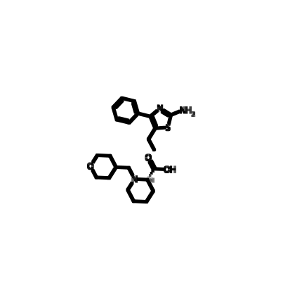 CCc1sc(N)nc1-c1ccccc1.O=C(O)[C@@H]1CCCCN1CC1CCOCC1